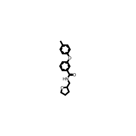 Cc1ccc(Oc2cccc(C(=O)NCC3CCCO3)c2)cc1